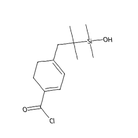 CC(C)(CC1=CC=C(C(=O)Cl)CC1)[Si](C)(C)O